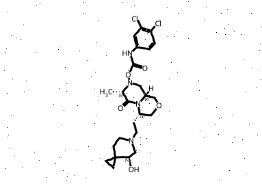 C[C@H]1C(=O)N2[C@@H](CCN3CCC4(CC4)[C@H](O)C3)COC[C@H]2CN1OC(=O)Nc1ccc(Cl)c(Cl)c1